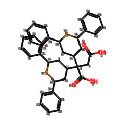 O=C(O)CC(C(=O)O)(C1CC(c2ccccc2)SC(c2ccccc2)C1)C1CC(c2ccccc2)SC(c2ccccc2)C1